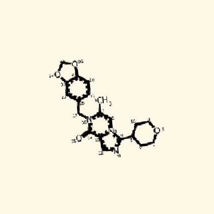 Cc1cn2c(C3CCOCC3)ncc2c(=O)n1Cc1ccc2c(c1)OCO2